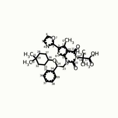 Cc1c(-c2ncco2)sc2c1c(=O)n(C(C)(C)C(=O)O)c(=O)n2C[C@H](OC1CCC(C)(C)CC1)c1ccccc1